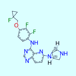 Fc1c(Nc2ncnc3ccc(N4C[C@@H]5C[C@H]4CN5)nc23)ccc(OCC2(F)CC2)c1F